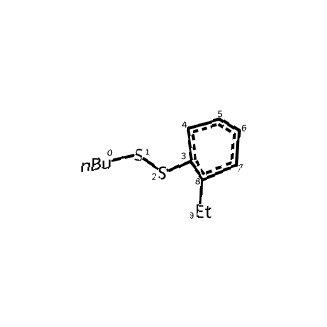 CCCCSSc1ccccc1CC